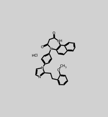 COc1ccccc1CCc1nccn1-c1ccc(N2C(=O)CC(=O)Nc3c2ccc2ccccc32)cc1.Cl